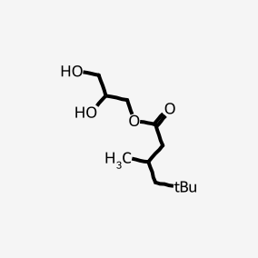 CC(CC(=O)OCC(O)CO)CC(C)(C)C